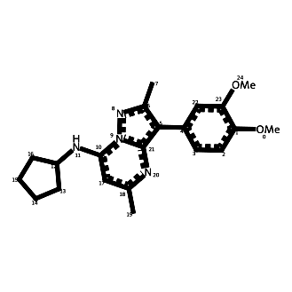 COc1ccc(-c2c(C)nn3c(NC4CCCC4)cc(C)nc23)cc1OC